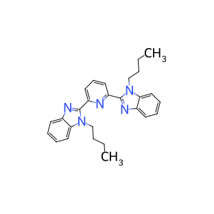 CCCCn1c(-c2cccc(-c3nc4ccccc4n3CCCC)n2)nc2ccccc21